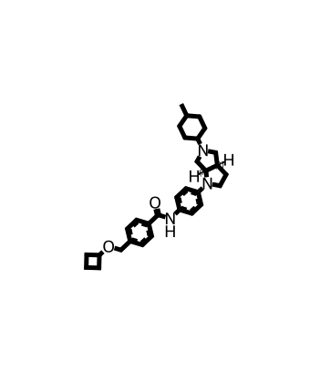 CC1CCC(N2C[C@H]3CCN(c4ccc(NC(=O)c5ccc(COC6CCC6)cc5)cc4)[C@H]3C2)CC1